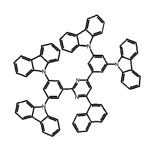 c1ccc2c(-c3cc(-c4cc(-n5c6ccccc6c6ccccc65)cc(-n5c6ccccc6c6ccccc65)c4)nc(-c4cc(-n5c6ccccc6c6ccccc65)cc(-n5c6ccccc6c6ccccc65)c4)n3)cccc2c1